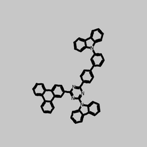 c1cc(-c2ccc(-c3nc(-c4ccc5c6ccccc6c6ccccc6c5c4)nc(-n4c5ccccc5c5ccccc54)n3)cc2)cc(-n2c3ccccc3c3ccccc32)c1